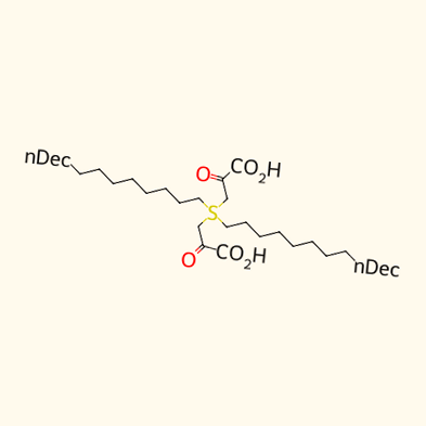 CCCCCCCCCCCCCCCCCCS(CCCCCCCCCCCCCCCCCC)(CC(=O)C(=O)O)CC(=O)C(=O)O